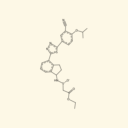 CCOC(=O)C[S+]([O-])NC1CCc2c(-c3nnc(-c4ccc(OC(C)C)c(C#N)c4)s3)cccc21